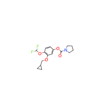 O=C(Oc1ccc(OC(F)F)c(OCC2CC2)c1)N1CCCC1